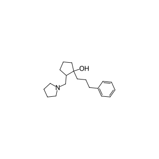 OC1(CCCc2ccccc2)CCCC1CN1CCCC1